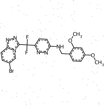 COc1ccc(CNc2ccc(C(F)(F)c3nnc4ccc(Br)cn34)nn2)c(OC)c1